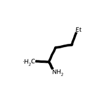 [CH2]CCCC([CH2])N